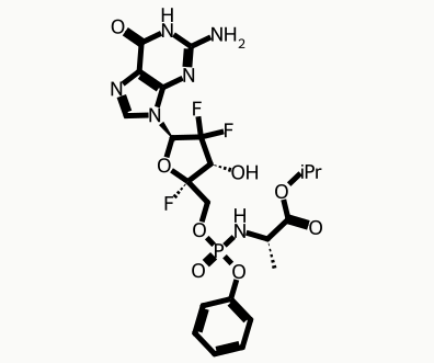 CC(C)OC(=O)[C@H](C)NP(=O)(OC[C@@]1(F)O[C@@H](n2cnc3c(=O)[nH]c(N)nc32)C(F)(F)[C@@H]1O)Oc1ccccc1